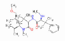 CN[C@H](C(=O)NC(C(=O)N(C)[C@H](/C=C(\C)COC)C(C)C)C(C)(C)C)C(C)(C)c1ccccc1